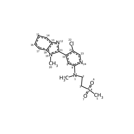 CN(CCS(C)(=O)=O)c1cc(-c2nc3ccccc3n2C)c(Cl)cn1